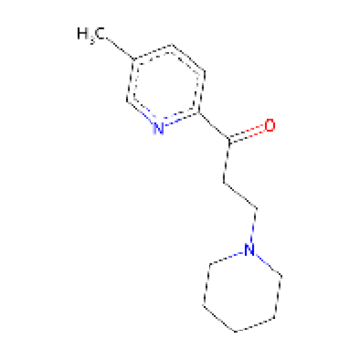 Cc1ccc(C(=O)CCN2CCCCC2)nc1